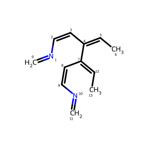 C=N\C=C/C(=C/C)C(/C=C\N=C)=C/C